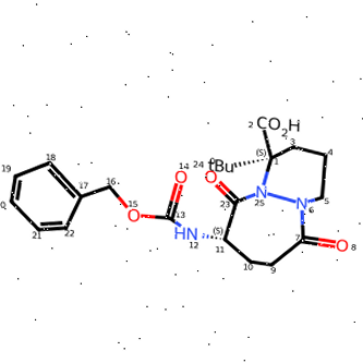 CC(C)(C)[C@]1(C(=O)O)CCCN2C(=O)CC[C@H](NC(=O)OCc3ccccc3)C(=O)N21